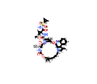 C=C[C@@H]1C[C@]1(NC(=O)[C@@H]1C[C@@H]2CN1C(=O)[C@H](C(C)(C)C)NC(=O)OCC(C)(C)CC=CCn1cc(C)c3c4ccccc4nc(c31)O2)C(=O)NS(=O)(=O)C1CC1